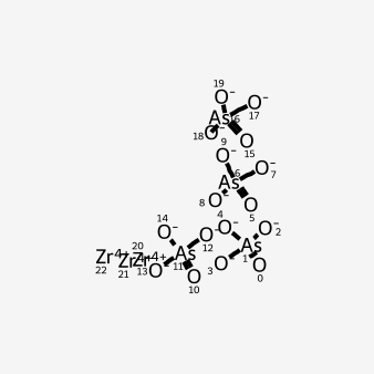 O=[As]([O-])([O-])[O-].O=[As]([O-])([O-])[O-].O=[As]([O-])([O-])[O-].O=[As]([O-])([O-])[O-].[Zr+4].[Zr+4].[Zr+4]